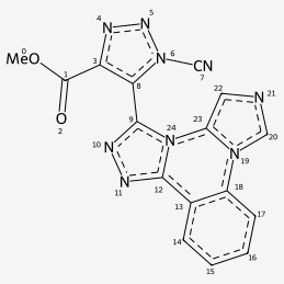 COC(=O)c1nnn(C#N)c1-c1nnc2c3ccccc3n3cncc3n12